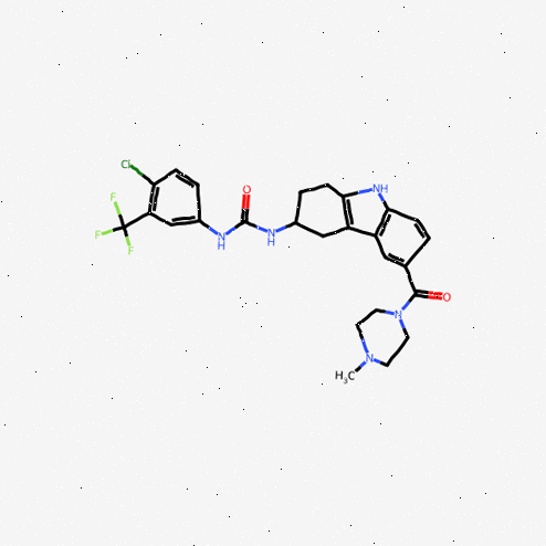 CN1CCN(C(=O)c2ccc3[nH]c4c(c3c2)CC(NC(=O)Nc2ccc(Cl)c(C(F)(F)F)c2)CC4)CC1